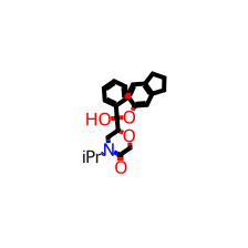 CC(C)N1CC(C(O)(Oc2ccc3c(c2)CCC3)c2ccccc2)OCC1=O